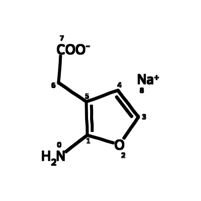 Nc1occc1CC(=O)[O-].[Na+]